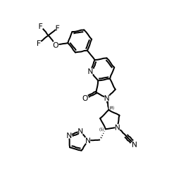 N#CN1C[C@H](N2Cc3ccc(-c4cccc(OC(F)(F)F)c4)nc3C2=O)C[C@H]1Cn1ccnn1